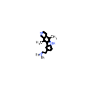 CCN(CC)CCc1ccc2[nH]c3c(C)c4ccncc4c(C)c3c2c1